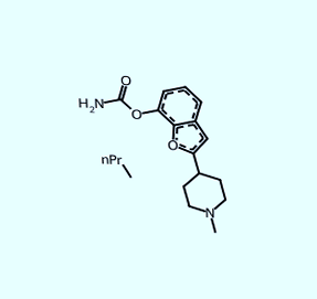 CCCC.CN1CCC(c2cc3cccc(OC(N)=O)c3o2)CC1